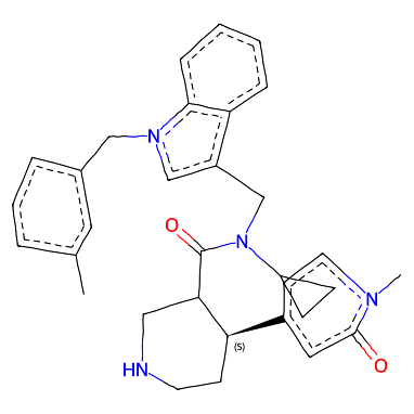 Cc1cccc(Cn2cc(CN(C(=O)C3CNCC[C@@H]3c3ccn(C)c(=O)c3)C3CC3)c3ccccc32)c1